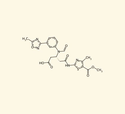 COC(=O)c1sc(NC(=O)C[C@H](CC(=O)O)N(C=O)c2cccc(-c3noc(C)n3)c2)nc1C